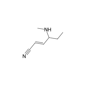 CCC(C=CC#N)NC